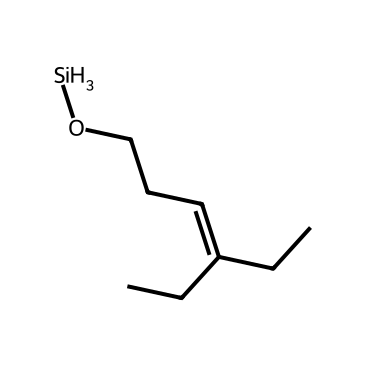 CCC(=CCCO[SiH3])CC